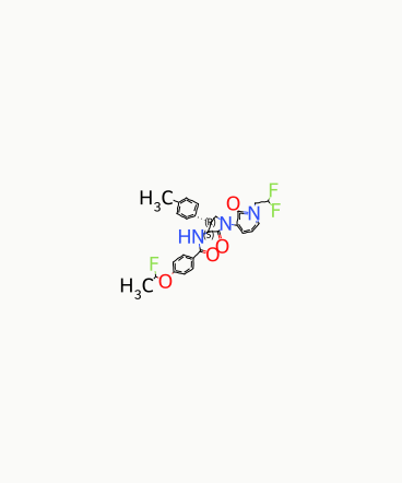 Cc1ccc([C@@H]2CN(c3cccn(CC(F)F)c3=O)C(=O)[C@H]2NC(=O)c2ccc(OC(C)F)cc2)cc1